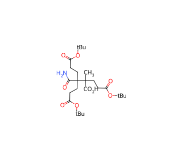 CC(C)(C)OC(=O)CCC(C)(C(=O)O)C(CCC(=O)OC(C)(C)C)(CCC(=O)OC(C)(C)C)C(N)=O